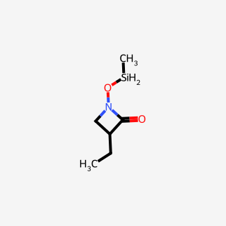 CCC1CN(O[SiH2]C)C1=O